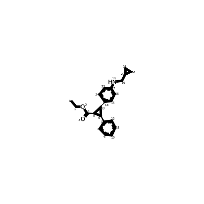 CCOC(=O)[C@@H]1[C@H](c2ccccc2)[C@H]1c1ccc(NCC2CC2)cc1